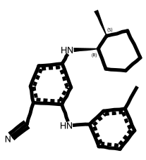 Cc1cccc(Nc2cc(N[C@@H]3CCCC[C@@H]3C)ccc2C#N)c1